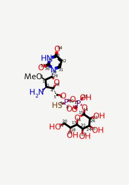 CO[C@@H]1[C@H](N)[C@@H](COP(=O)(S)OP(=O)(O)OC2OC([C@@H](O)CO)C(O)C(O)C2O)O[C@H]1n1ccc(=O)[nH]c1=O